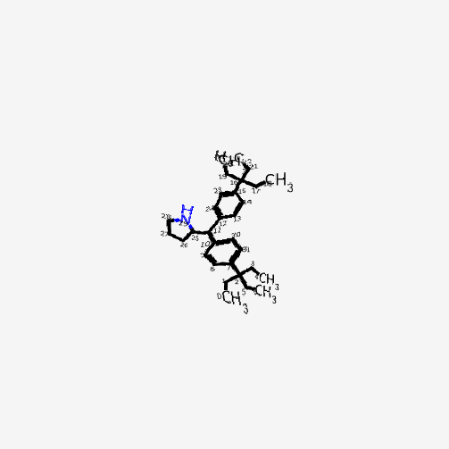 CCC(CC)(CC)c1ccc(C(c2ccc(C(CC)(CC)CC)cc2)C2CCCN2)cc1